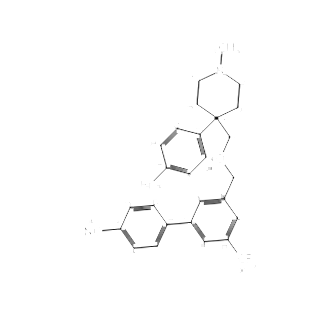 CN1CCC(COCc2cc(-c3ccc(C#N)cc3)cc(C(F)(F)F)c2)(c2ccc(Br)cc2)CC1